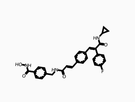 O=C(/C=C/c1ccc(/C=C(/C(=O)NC2CC2)c2ccc(F)cc2)cc1)NCc1ccc(C(=O)NO)cc1